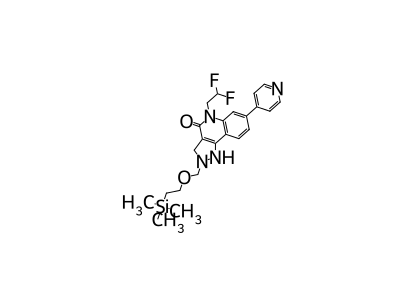 C[Si](C)(C)CCOCN1Cc2c(c3ccc(-c4ccncc4)cc3n(CC(F)F)c2=O)N1